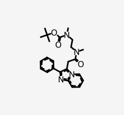 CN(CCN(C)C(=O)OC(C)(C)C)C(=O)Cc1c(-c2ccccc2)nc2ccccn12